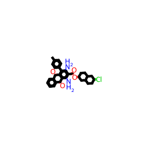 Cc1ccc(-c2c(N)c(C(=O)OC3CCC4CC(Cl)CCC4C3)c(N)c3c2C(=O)c2ccccc2C3=O)cc1